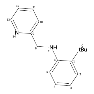 CC(C)(C)c1ccccc1NCc1ccccn1